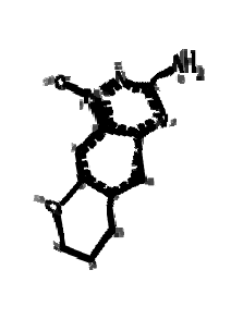 Nc1nc2cc3c(cc2[n+]([O-])n1)OCCC3